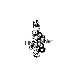 Cc1nnc(SCC2=C(C(=O)[O-])N3C(=O)C(NC(=O)CC4=C(NC(=O)N5CCNC5=O)C(=NC5SCCS5)CC=C4)[C@@H]3SC2)s1.[Na+]